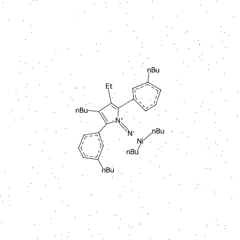 CCCCC1=C(c2cccc(CCCC)c2)[N+](=[N-])C(c2cccc(CCCC)c2)=C1CC.CCC[CH2][Ni][CH2]CCC